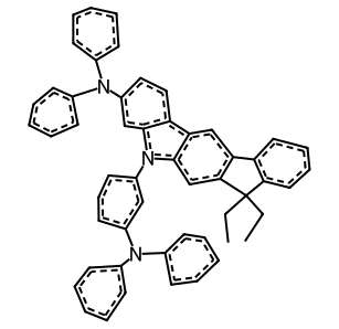 CCC1(CC)c2ccccc2-c2cc3c4ccc(N(c5ccccc5)c5ccccc5)cc4n(-c4cccc(N(c5ccccc5)c5ccccc5)c4)c3cc21